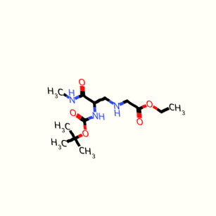 CCOC(=O)CNCC(NC(=O)OC(C)(C)C)C(=O)NC